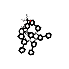 CC(C)(C)c1ccc2c(c1)C1(C)CCc3ccccc3C1(C)N2c1cc2c3c(c1)N(c1cccc(-c4ccccc4)c1)c1cc(-c4ccccc4)ccc1B3c1ccc(-c3ccccc3)cc1N2c1cccc(-c2ccccc2)c1